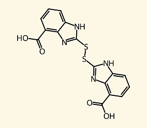 O=C(O)c1cccc2[nH]c(SSc3nc4c(C(=O)O)cccc4[nH]3)nc12